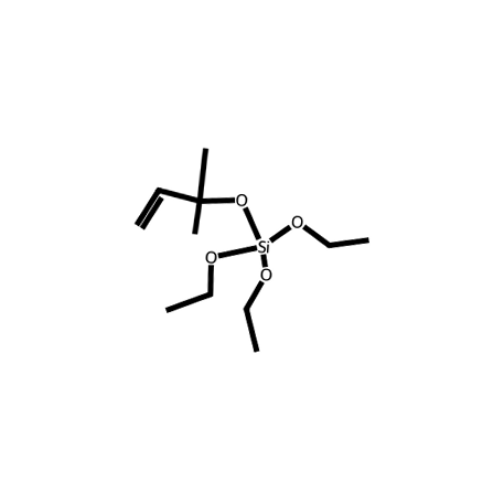 C=CC(C)(C)O[Si](OCC)(OCC)OCC